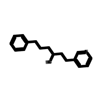 OC(CCCc1ccccc1)CCc1cccnc1